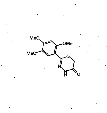 COc1cc(OC)c(C2=NNC(=O)CS2)cc1OC